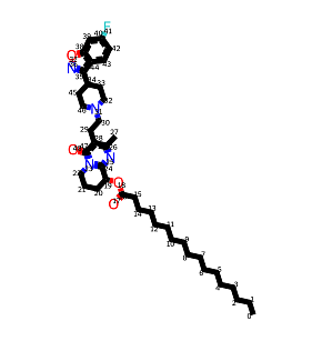 CCCCCCCCCCCCCCCCC(=O)OC1CCCn2c1nc(C)c(CCN1CCC(c3noc4cc(F)ccc34)CC1)c2=O